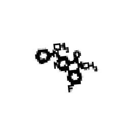 CN(C(=O)c1cc(N(C)c2ccccc2)ncn1)c1ccc(F)cc1